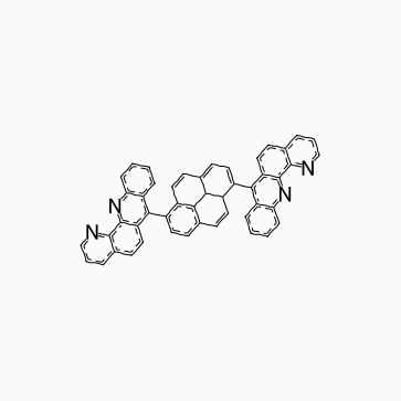 C1=Cc2c(-c3c4ccccc4nc4c3ccc3cccnc34)ccc3c2C2C1=CC=C(c1c4ccccc4nc4c1ccc1cccnc14)C2C=C3